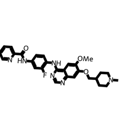 COc1cc2c(Nc3ccc(NC(=O)c4ccccn4)cc3F)ncnc2cc1OCC1CCN(C)CC1